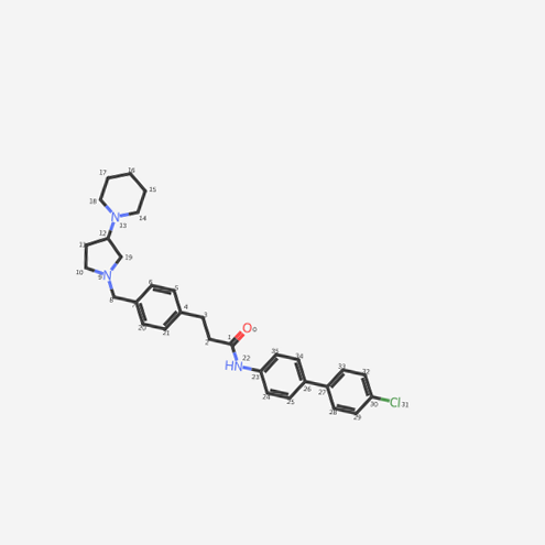 O=C(CCc1ccc(CN2CCC(N3CCCCC3)C2)cc1)Nc1ccc(-c2ccc(Cl)cc2)cc1